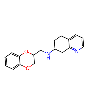 c1cnc2c(c1)CCC(NCC1COc3ccccc3O1)C2